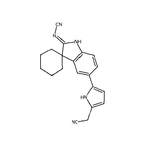 N#CCc1ccc(-c2ccc3c(c2)C2(CCCCC2)C(=NC#N)N3)[nH]1